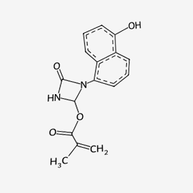 C=C(C)C(=O)OC1NC(=O)N1c1cccc2c(O)cccc12